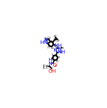 CCC(CO)NC(=O)c1ccc(C2N=C(Nc3ccc4[nH]ncc4c3C3CC3)N(C)N2)cc1